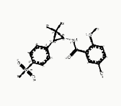 COc1ccc(Cl)cc1C(=O)N[C@@H]1[C@@H](c2ccc(S(C)(=O)=O)cc2)C1(C)C